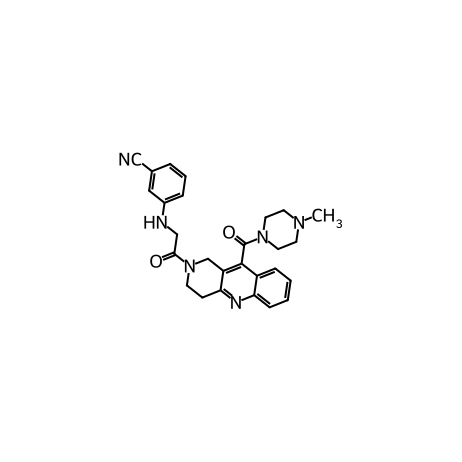 CN1CCN(C(=O)c2c3c(nc4ccccc24)CCN(C(=O)CNc2cccc(C#N)c2)C3)CC1